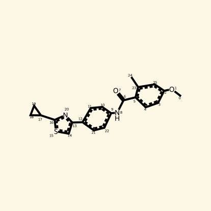 COc1ccc(C(=O)Nc2ccc(-c3csc(C4CC4)n3)cc2)c(C)c1